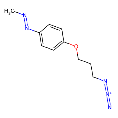 C/N=N/c1ccc(OCCCN=[N+]=[N-])cc1